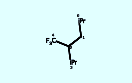 CC(C)CC(C(C)C)C(F)(F)F